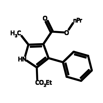 CCCOC(=O)c1c(C)[nH]c(C(=O)OCC)c1-c1ccccc1